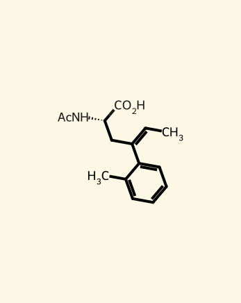 C/C=C(/C[C@H](NC(C)=O)C(=O)O)c1ccccc1C